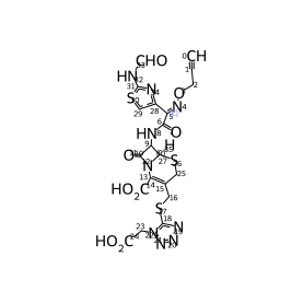 C#CCO/N=C(/C(=O)NC1C(=O)N2C(C(=O)O)=C(CSc3nnnn3CC(=O)O)CS[C@H]12)c1csc(NC=O)n1